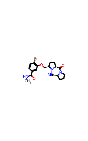 CNC(=O)c1ccc(Br)c(OC[C@H]2CC[C@@H](C(=O)N3CCC[C@H]3C#N)N2)c1